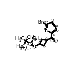 CC(C)(C)[Si](C)(C)OC1CC(C(=O)c2cccc(Br)n2)C1